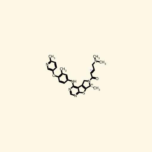 Cc1ccc(Oc2ccc(Nc3ncnc4sc5c(c34)CN(C(=O)/C=C/CN(C)C)[C@@H]5C)cc2C)cn1